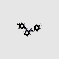 Cc1ccc(/N=C2\OCCC\C2=C/Sc2ccc(F)cc2)cc1